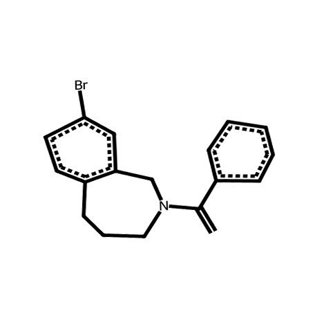 C=C(c1ccccc1)N1CCCc2ccc(Br)cc2C1